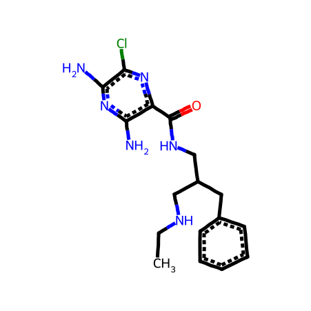 CCNCC(CNC(=O)c1nc(Cl)c(N)nc1N)Cc1ccccc1